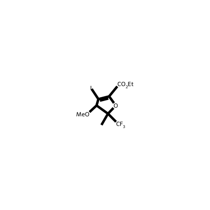 CCOC(=O)C1=C(I)C(OC)C(C)(C(F)(F)F)O1